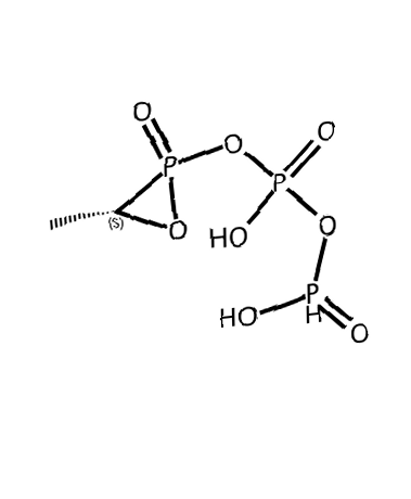 C[C@H]1OP1(=O)OP(=O)(O)O[PH](=O)O